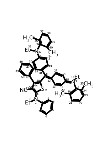 CCN(c1ccccc1)c1sc(C(=C2C=CC(=[N+](CC)c3c(C)cccc3C)C=C2)c2ccc(N(CC)c3c(C)cccc3C)cc2)c(-c2ccccc2)c1C#N